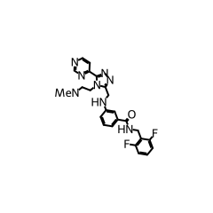 CNCCn1c(CNc2cccc(C(=O)NCc3c(F)cccc3F)c2)nnc1-c1ccncn1